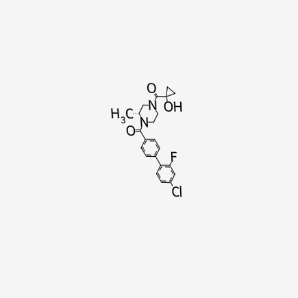 C[C@@H]1CN(C(=O)C2(O)CC2)CCN1C(=O)c1ccc(-c2ccc(Cl)cc2F)cc1